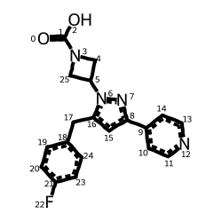 O=C(O)N1CC(n2nc(-c3ccncc3)cc2Cc2ccc(F)cc2)C1